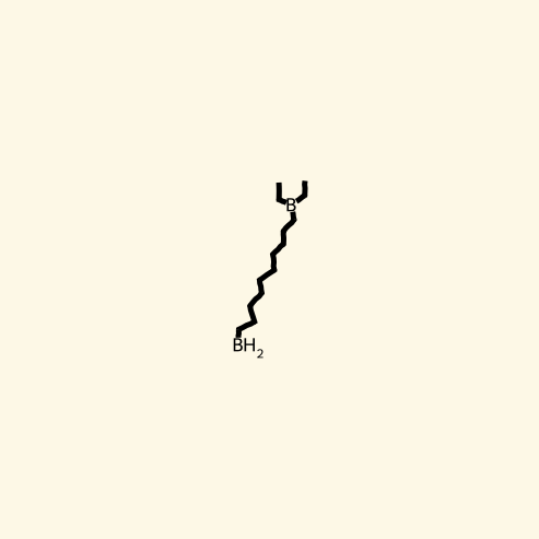 BCCCCCCCCCCB(CC)CC